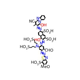 COc1ccc2nc(N=Nc3cc(N(CCCS(=O)(=O)O)CCCS(=O)(=O)O)c(N=Nc4c(S(=O)(=O)O)cc5c(S(=O)(=O)O)c(N=Nc6c(C)c(C#N)c7nc8ccccc8n7c6O)ccc5c4O)cc3C=O)sc2c1S(=O)(=O)O